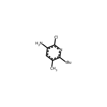 Cc1cc(N)c(Cl)nc1C(C)(C)C